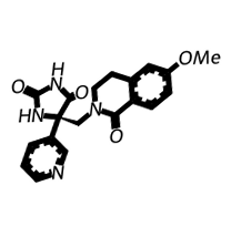 COc1ccc2c(c1)CCN(C[C@@]1(c3cccnc3)NC(=O)NC1=O)C2=O